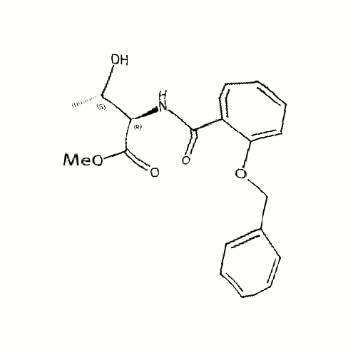 COC(=O)[C@H](NC(=O)c1ccccc1OCc1ccccc1)[C@H](C)O